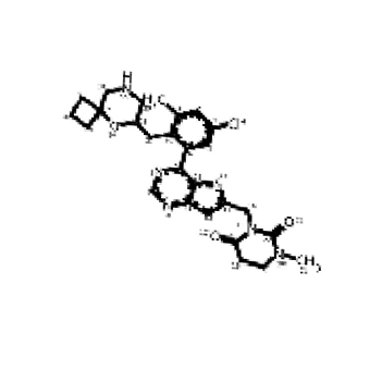 Cc1cc(Cl)cc(-c2ncnc3cc(CN4C(=O)CCN(C)C4=O)sc23)c1CC1CNCC2(CCC2)O1